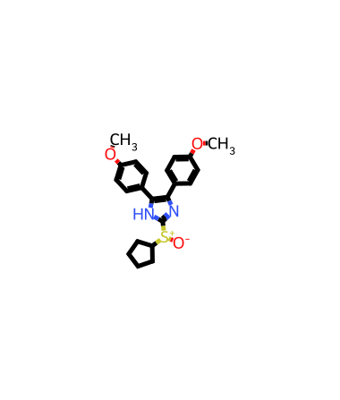 COc1ccc(-c2nc([S+]([O-])C3CCCC3)[nH]c2-c2ccc(OC)cc2)cc1